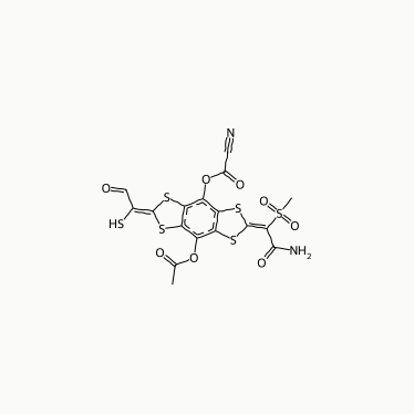 CC(=O)Oc1c2c(c(OC(=O)C#N)c3c1S/C(=C(\S)C=O)S3)S/C(=C(/C(N)=O)S(C)(=O)=O)S2